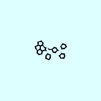 c1ccc(N(c2ccccc2)c2ccc(-c3nc4c5cccc6ccc7cccc(c7c65)c4n3-c3ccccc3)cc2)cc1